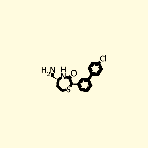 NC[C@H]1CCS[C@H](c2cccc(-c3ccc(Cl)cc3)c2)C(=O)N1